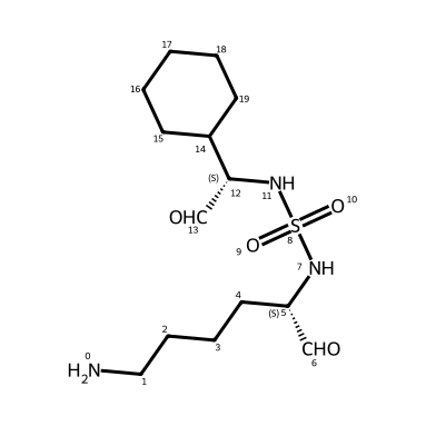 NCCCC[C@@H](C=O)NS(=O)(=O)N[C@H](C=O)C1CCCCC1